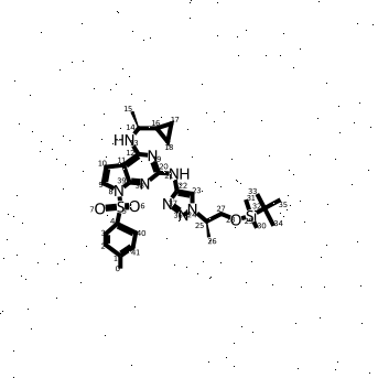 Cc1ccc(S(=O)(=O)n2ccc3c(N[C@@H](C)C4CC4)nc(Nc4cn([C@H](C)CO[Si](C)(C)C(C)(C)C)nn4)nc32)cc1